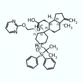 C=C1CC[C@@H]2[C@H](CC(=O)O)[C@H]([C@@]3(C)CC[C@H](O[Si](c4ccccc4)(c4ccccc4)C(C)(C)C)C[C@@H]3CCOc3ncccn3)CC[C@]12C